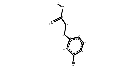 COC(=O)CCc1cccc(Br)n1